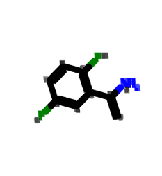 C=C(N)c1cc(F)ccc1F